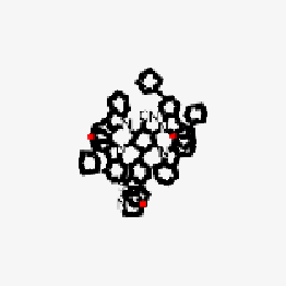 N#Cc1c(-n2c3ccccc3c3ccc(-c4ccccc4)cc32)c(-n2c3ccccc3c3ccc(-c4ccccc4)cc32)c(-c2ccc3c(c2)sc2ncccc23)c(-n2c3ccccc3c3ccc(-c4ccccc4)cc32)c1-n1c2ccccc2c2ccc(-c3ccccc3)cc21